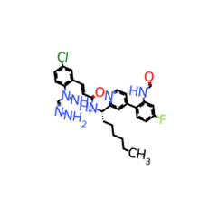 CCCCCC[C@H](NC(=O)/C=C/c1cc(Cl)ccc1N(N)/C=N\N)c1cc(-c2ccc(F)cc2NC=O)ccn1